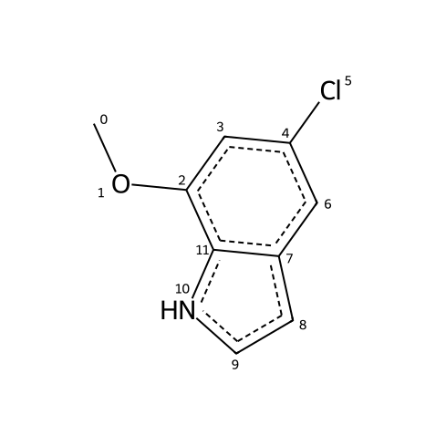 COc1cc(Cl)cc2cc[nH]c12